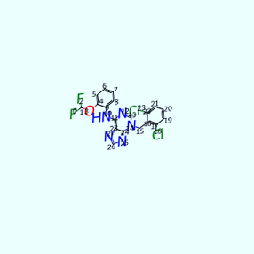 FC(F)Oc1ccccc1Nc1ncn(Cc2c(Cl)cccc2Cl)c2ncnc1-2